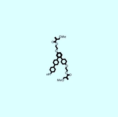 C=C(COC)C(=O)OCCOc1ccc(C2CCC(OCCOC(=O)C(=C)COC)CC2)c(C2CCC(C3CCC(CCC)CC3)CC2)c1